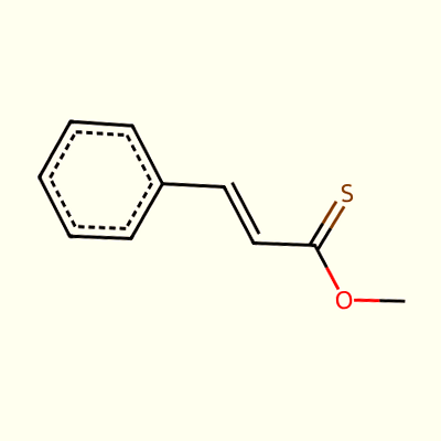 COC(=S)/C=C/c1ccccc1